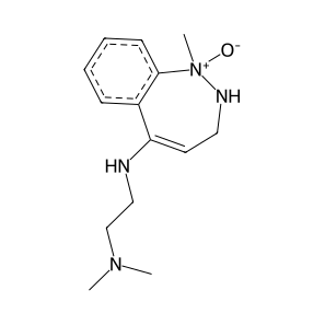 CN(C)CCNC1=CCN[N+](C)([O-])c2ccccc21